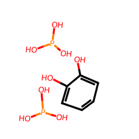 OP(O)O.OP(O)O.Oc1ccccc1O